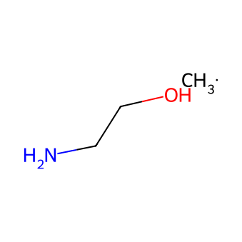 NCCO.[CH3]